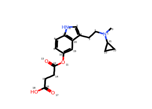 CN(CCc1c[nH]c2ccc(OC(=O)CCC(=O)O)cc12)C1CC1